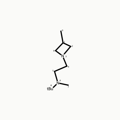 CC1CN(CCN(C)C(C)(C)C)C1